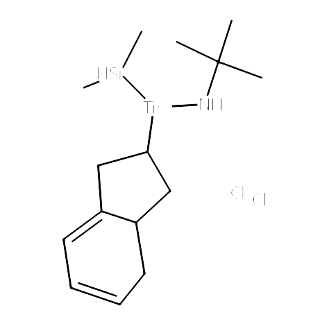 C[SiH](C)[Ti+2]([NH]C(C)(C)C)[CH]1CC2=CC=CCC2C1.[Cl-].[Cl-]